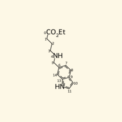 CCOC(=O)CCCNCc1ccc2cc[nH]c2c1